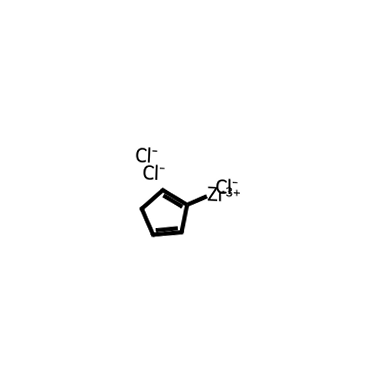 [Cl-].[Cl-].[Cl-].[Zr+3][C]1=CCC=C1